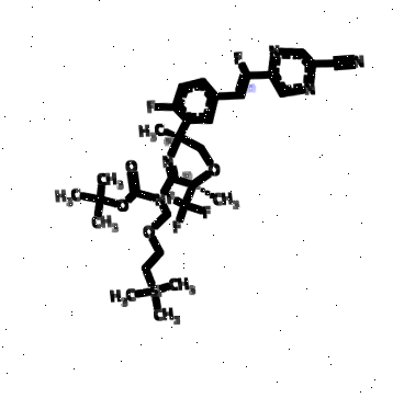 CC(C)(C)OC(=O)N(COCC[Si](C)(C)C)C1=N[C@](C)(c2cc(/C=C(\F)c3cnc(C#N)cn3)ccc2F)CO[C@@]1(C)C(F)(F)F